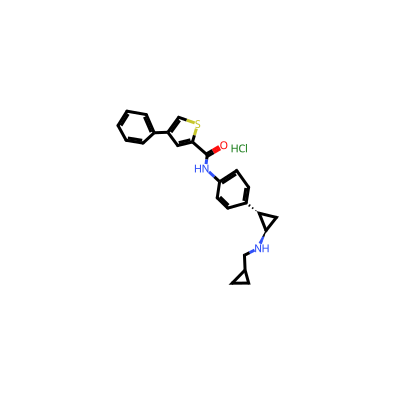 Cl.O=C(Nc1ccc([C@@H]2C[C@H]2NCC2CC2)cc1)c1cc(-c2ccccc2)cs1